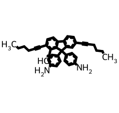 C#Cc1c(C#CCCCC)ccc2c1C(c1ccc(N)cc1)(c1ccc(N)cc1)c1cc(C#CCCCC)ccc1-2